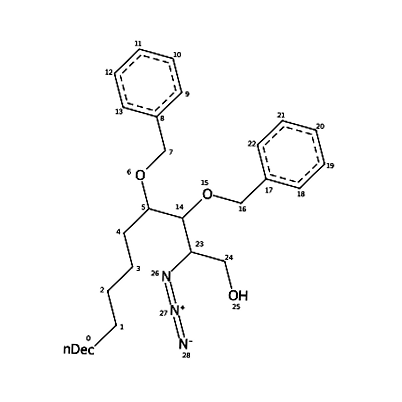 CCCCCCCCCCCCCCC(OCc1ccccc1)C(OCc1ccccc1)C(CO)N=[N+]=[N-]